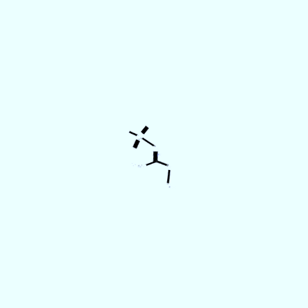 CCCCN/C(=N/S(C)(=O)=O)NC